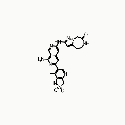 Cc1c(-c2cc3cc(Nc4cc5n(n4)CC(=O)NCC5)ncc3c(N)n2)cnc2c1NS(=O)(=O)C2